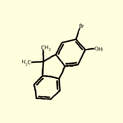 CC1(C)c2ccccc2-c2cc(O)c(Br)cc21